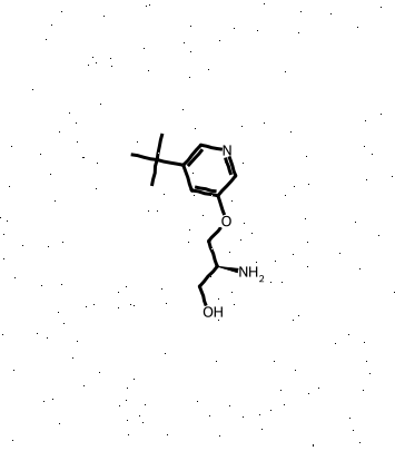 CC(C)(C)c1cncc(OC[C@@H](N)CO)c1